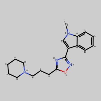 CCn1cc(-c2noc(CCCN3CCCCC3)n2)c2ccccc21